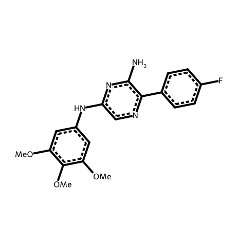 COc1cc(Nc2cnc(-c3ccc(F)cc3)c(N)n2)cc(OC)c1OC